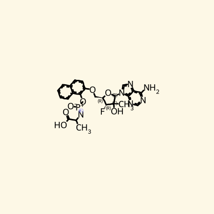 CC(/N=[P+](\[O-])Oc1c(OC[C@H]2O[C@@H](n3cnc4c(N)ncnc43)[C@](C)(O)[C@@H]2F)ccc2ccccc12)C(=O)O